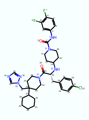 O=C(Nc1ccc(F)c(F)c1)N1CCC(N[C@H](Cc2ccc(Cl)cc2)C(=O)N2CCC(Cn3cncn3)(C3CCCCC3)CC2)CC1